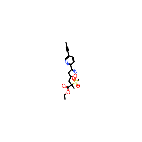 CC#Cc1ccc(C2=NOC(CC(C)(C(=O)OCC)S(C)(=O)=O)C2)nc1